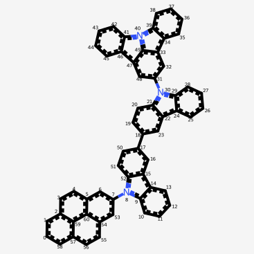 c1cc2ccc3cc(-n4c5ccccc5c5cc(-c6ccc7c(c6)c6ccccc6n7-c6cc7c8ccccc8n8c9ccccc9c(c6)c78)ccc54)cc4ccc(c1)c2c34